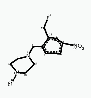 CCN1CCN(Cc2ccc([N+](=O)[O-])cc2CF)CC1